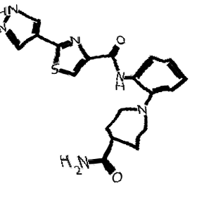 NC(=O)C1CCN(c2ccccc2NC(=O)c2csc(-c3cn[nH]c3)n2)CC1